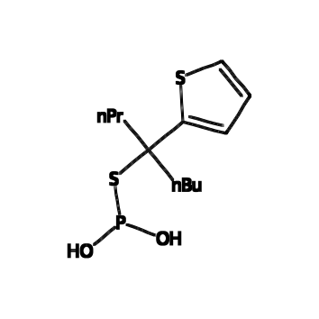 CCCCC(CCC)(SP(O)O)c1cccs1